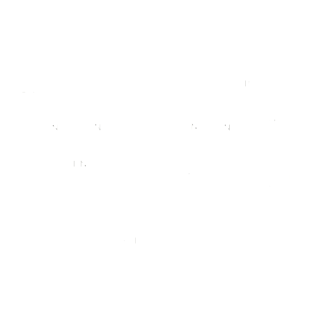 Cc1cc(Nc2nccc(C(F)(F)F)n2)cc(-c2cnc(C3(N[S+]([O-])C(C)(C)C)CCC4(CC3)OCCO4)s2)c1